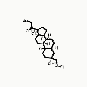 CCOC[C@@]1(O)CC[C@H]2[C@@H](CC[C@@H]3[C@@H]2CC[C@]2(C)C(C(=O)CBr)CC[C@@H]32)C1